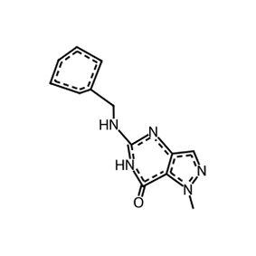 Cn1ncc2nc(NCc3ccccc3)[nH]c(=O)c21